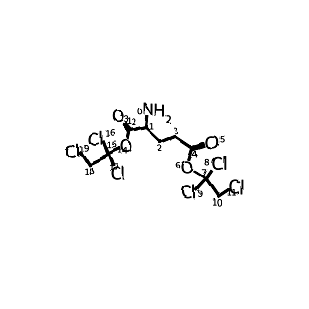 NC(CCC(=O)OC(Cl)(Cl)CCl)C(=O)OC(Cl)(Cl)CCl